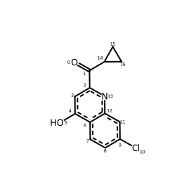 O=C(c1cc(O)c2ccc(Cl)cc2n1)C1CC1